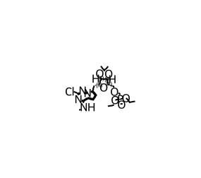 CCOP(=O)(COC[C@H]1O[C@H](Cc2ccc3c(NC)nc(Cl)nn23)[C@@H]2OC(C)(C)O[C@@H]21)OCC